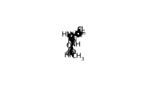 CNS(=O)(=O)OCC(=O)Nc1nc2c(s1)C(c1ccc(F)c(Cl)c1)CNC2